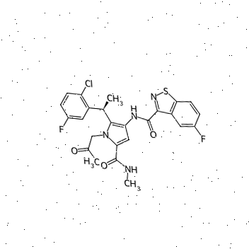 CNC(=O)c1cc(NC(=O)c2nsc3ccc(F)cc23)c([C@H](C)c2cc(F)ccc2Cl)n1CC(C)=O